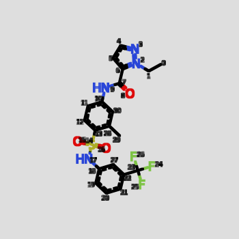 CCn1nccc1C(=O)Nc1ccc(S(=O)(=O)Nc2cccc(C(F)(F)F)c2)c(C)c1